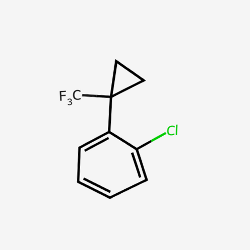 FC(F)(F)C1(c2ccccc2Cl)CC1